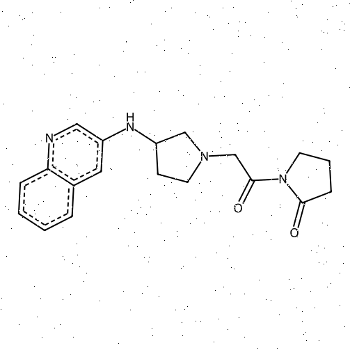 O=C1CCCN1C(=O)CN1CCC(Nc2cnc3ccccc3c2)C1